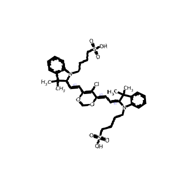 CC1(C)/C(=C\C=C2/OCOC(/C=C/C3N(CCCCS(=O)(=O)O)c4ccccc4C3(C)C)=C2Cl)N(CCCCS(=O)(=O)O)c2ccccc21